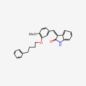 COc1ccc(C=C2C(=O)Nc3ccccc32)cc1OCCCCc1ccccc1